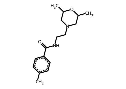 Cc1ccc(C(=O)NCCN2CC(C)OC(C)C2)cc1